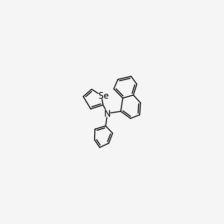 c1ccc(N(c2ccc[se]2)c2cccc3ccccc23)cc1